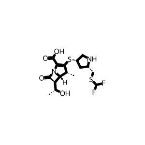 C[C@@H](O)[C@H]1C(=O)N2C(C(=O)O)=C(S[C@@H]3CN[C@H](CSC(F)F)C3)[C@H](C)[C@H]12